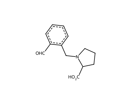 O=Cc1ccccc1CN1CCCC1C(=O)O